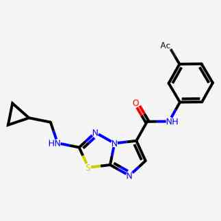 CC(=O)c1cccc(NC(=O)c2cnc3sc(NCC4CC4)nn23)c1